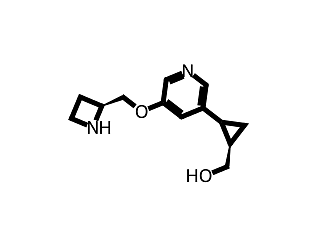 OC[C@@H]1CC1c1cncc(OC[C@@H]2CCN2)c1